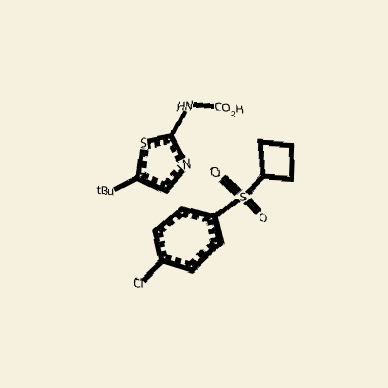 CC(C)(C)c1cnc(NC(=O)O)s1.O=S(=O)(c1ccc(Cl)cc1)C1CCC1